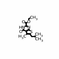 CCOC(=O)c1nc2sc(CC(C)C)c(C)c2c(=O)[nH]1